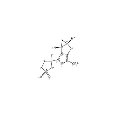 C[C@@]1(n2nc(C(=O)O)c3c2[C@@H]2C[C@@H]2C3)CCS(=O)(=O)C1